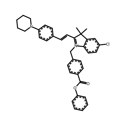 CC1(C)C(/C=C/c2ccc(N3CCCCC3)cc2)=[N+](Cc2ccc(C(=O)Oc3ccccc3)cc2)c2ccc(Cl)cc21